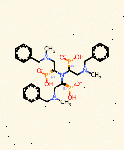 CN(C/C(N(/C(CN(C)Cc1ccccc1)=[P+](\[O-])O)/C(CN(C)Cc1ccccc1)=[P+](\[O-])O)=[P+](\[O-])O)Cc1ccccc1